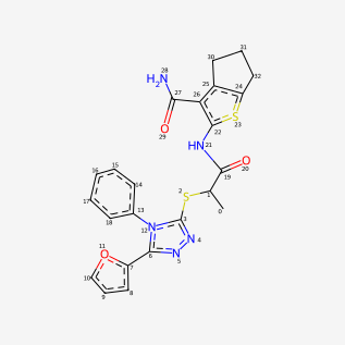 CC(Sc1nnc(-c2ccco2)n1-c1ccccc1)C(=O)Nc1sc2c(c1C(N)=O)CCC2